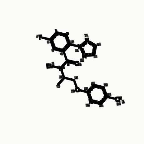 CCN(C(=O)c1cc(F)ccc1-n1nccn1)C(C)COc1ccc(C(F)(F)F)cn1